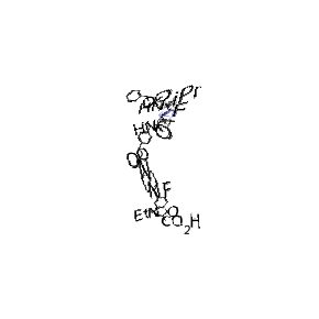 CCn1cc(C(=O)O)c(=O)c2cc(F)c(N3CCN(C(=O)OCc4ccc(NC(=O)[C@H](C)/C=C(\F)[C@@H](NC(=O)OCc5ccccc5)C(C)C)cc4)CC3)cc21